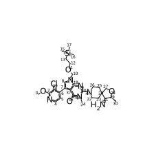 COc1nccc(-c2cn(COCC[Si](C)(C)C)c3nc(N4CCC5(CC4)CO[C@@H](C)[C@H]5N)n(C)c(=O)c23)c1Cl